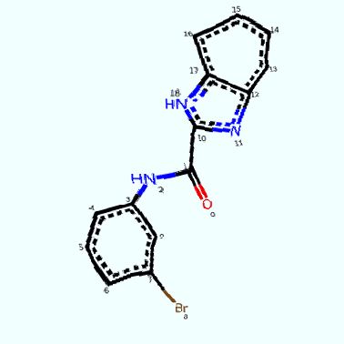 O=C(Nc1cccc(Br)c1)c1nc2ccccc2[nH]1